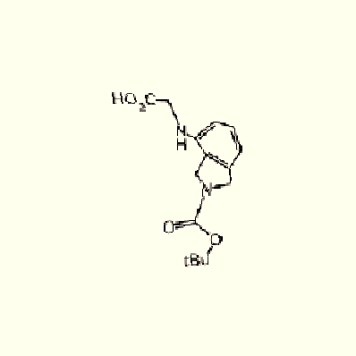 CC(C)(C)OC(=O)N1Cc2cccc(NCC(=O)O)c2C1